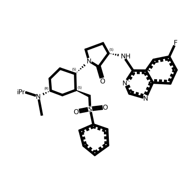 CC(C)N(C)[C@@H]1CC[C@H](N2CC[C@H](Nc3ncnc4ccc(F)cc34)C2=O)[C@@H](CS(=O)(=O)c2ccccc2)C1